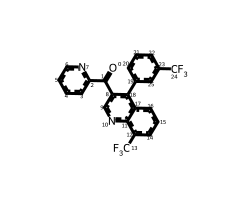 O=C(c1ccccn1)c1cnc2c(C(F)(F)F)cccc2c1-c1cccc(C(F)(F)F)c1